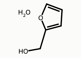 O.OCc1ccco1